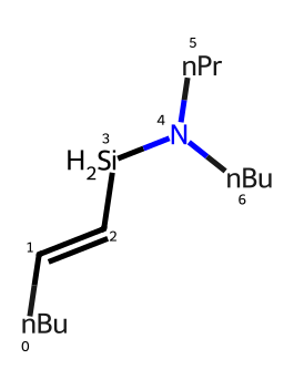 CCCCC=C[SiH2]N(CCC)CCCC